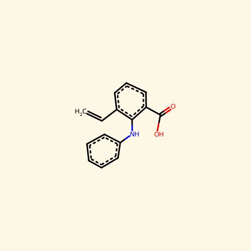 C=Cc1cccc(C(=O)O)c1Nc1ccccc1